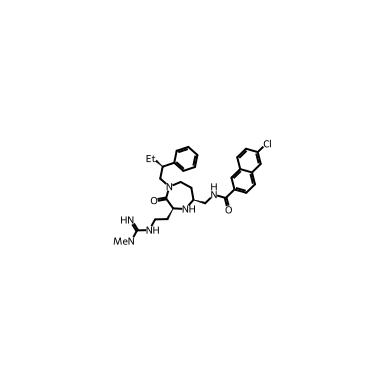 CC[C@H](CN1CC[C@@H](CNC(=O)c2ccc3cc(Cl)ccc3c2)N[C@@H](CCNC(=N)NC)C1=O)c1ccccc1